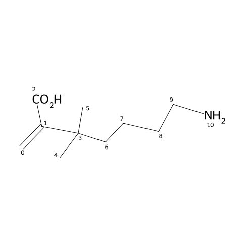 C=C(C(=O)O)C(C)(C)CCCCN